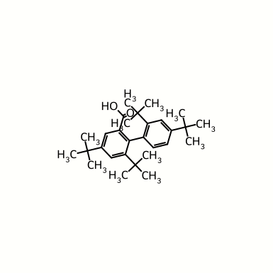 CC(C)(C)c1ccc(-c2c(C(=O)O)cc(C(C)(C)C)cc2C(C)(C)C)c(C(C)(C)C)c1